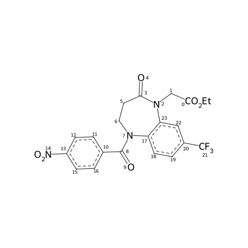 CCOC(=O)CN1C(=O)CCN(C(=O)c2ccc([N+](=O)[O-])cc2)c2ccc(C(F)(F)F)cc21